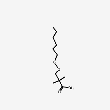 CCCCCCOOCC(C)(C)C(=O)O